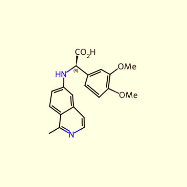 COc1ccc([C@@H](Nc2ccc3c(C)nccc3c2)C(=O)O)cc1OC